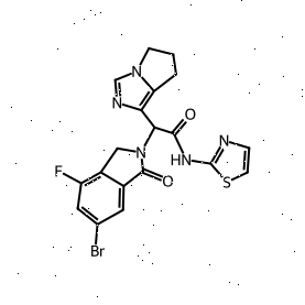 O=C(Nc1nccs1)C(c1ncn2c1CCC2)N1Cc2c(F)cc(Br)cc2C1=O